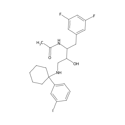 CC(=O)NC(Cc1cc(F)cc(F)c1)C(O)CNC1(c2cccc(I)c2)CCCCC1